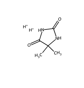 CC1(C)NC(=O)NC1=O.[H+].[H+]